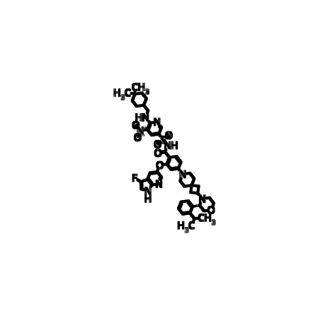 CC(C)c1ccccc1[C@@H]1COCCN1C1CC2(CCN(c3ccc(C(=O)NS(=O)(=O)c4cnc(NCC5CCC(C)(C)CC5)c([N+](=O)[O-])c4)c(Oc4cnc5[nH]cc(F)c5c4)c3)CC2)C1